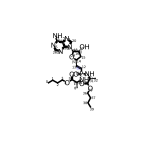 CCCCOC(=O)[C@H](C)NP(=O)(/C=C/[C@@H]1C[C@@H](O)[C@H](n2cnc3c(N)ncnc32)O1)N[C@@H](C)C(=O)OCCCC